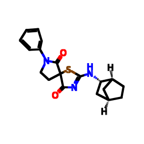 O=C1N=C(N[C@H]2C[C@@H]3CC[C@H]2C3)SC12CCN(c1ccccc1)C2=O